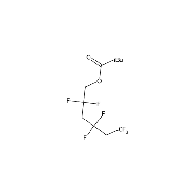 CCC(C)C(=O)OCC(F)(F)CC(F)(F)CC(F)(F)F